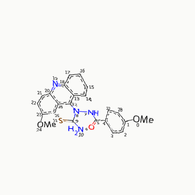 COc1ccc(C(=O)NN(C(N)=S)c2c3ccccc3nc3ccc(OC)cc23)cc1